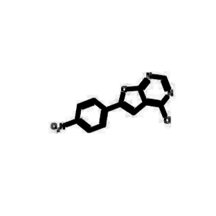 O=[N+]([O-])c1ccc(-c2cc3c(Cl)ncnc3o2)cc1